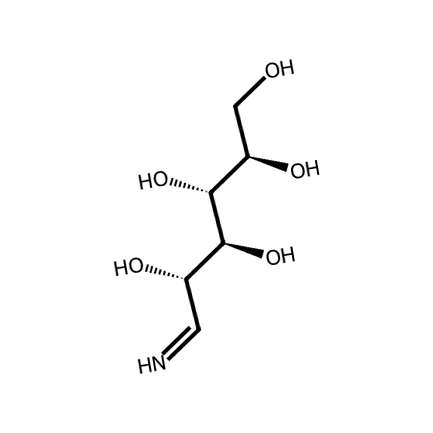 N=C[C@H](O)[C@H](O)[C@H](O)[C@H](O)CO